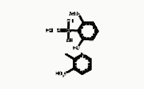 CC(=O)Nc1cccc(O)c1[As](=O)(O)O.Cc1ncccc1S(=O)(=O)O.Cl